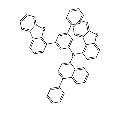 c1ccc(-c2cc(-c3cccc4c3sc3ccccc34)cc(N(c3ccc(-c4ccccc4)c4ccccc34)c3cccc4sc5ccccc5c34)c2)cc1